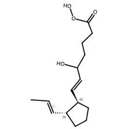 C/C=C/[C@H]1CCC[C@@H]1C=CC(O)CCCC(=O)OO